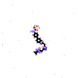 COC(=O)Nc1ccc(-c2ccc3nc(Cc4nnc(CC(=O)NC5(N)CC5)o4)sc3c2)cc1